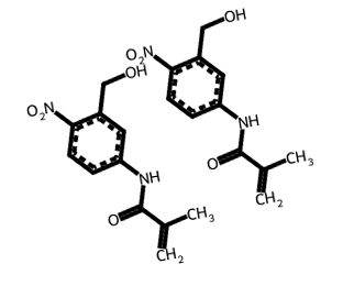 C=C(C)C(=O)Nc1ccc([N+](=O)[O-])c(CO)c1.C=C(C)C(=O)Nc1ccc([N+](=O)[O-])c(CO)c1